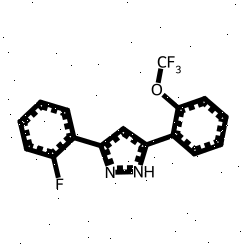 Fc1ccccc1-c1cc(-c2ccccc2OC(F)(F)F)[nH]n1